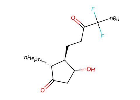 CCCCCCC[C@H]1C(=O)C[C@@H](O)[C@@H]1CCC(=O)C(F)(F)CCCC